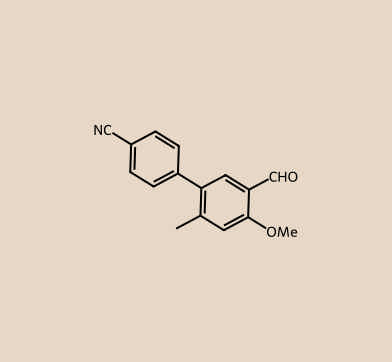 COc1cc(C)c(-c2ccc(C#N)cc2)cc1C=O